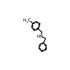 Cc1ccc(CNCc2ccccc2)cc1